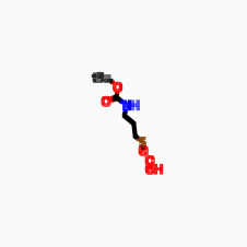 CC(C)(C)OC(=O)NCCCSOOO